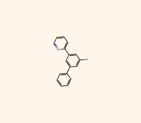 Ic1cc(-c2ccccc2)cc(-c2ccccn2)c1